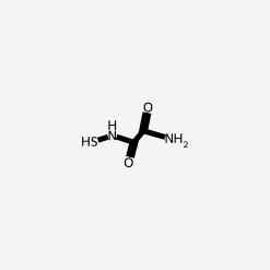 NC(=O)C(=O)NS